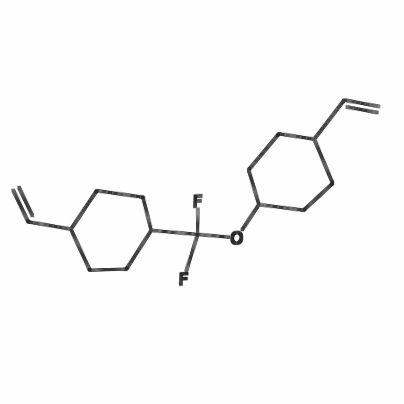 C=CC1CCC(OC(F)(F)C2CCC(C=C)CC2)CC1